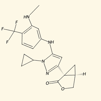 CNc1cc(Nc2cc([C@]34C[C@H]3COC4=O)nn2C2CC2)ccc1C(F)(F)F